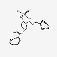 CC(C)[Si](O[C@H]1C[C@@H](OC(=O)c2ccccc2)C[C@@H]1COCc1ccccc1)(C(C)C)C(C)C